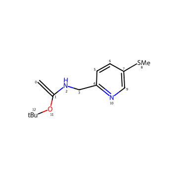 C=C(NCc1ccc(SC)cn1)OC(C)(C)C